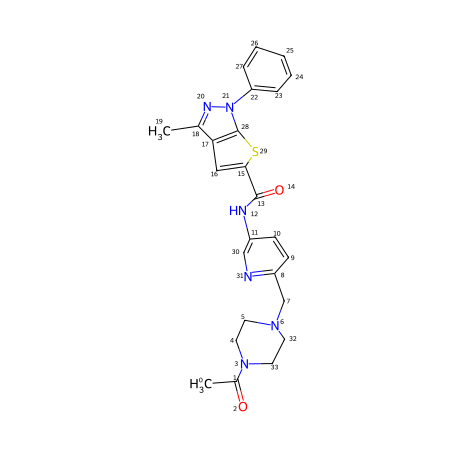 CC(=O)N1CCN(Cc2ccc(NC(=O)c3cc4c(C)nn(-c5ccccc5)c4s3)cn2)CC1